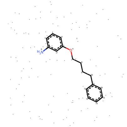 Nc1cccc(OCCCCc2ccccc2)c1